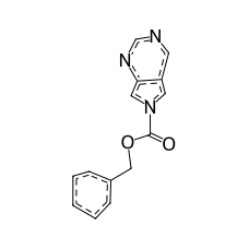 O=C(OCc1ccccc1)n1cc2cncnc2c1